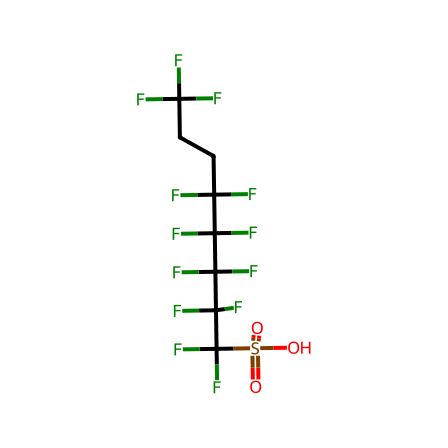 O=S(=O)(O)C(F)(F)C(F)(F)C(F)(F)C(F)(F)C(F)(F)CCC(F)(F)F